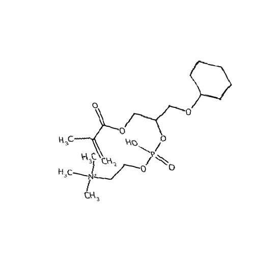 C=C(C)C(=O)OCC(COC1CCCCC1)OP(=O)(O)OCC[N+](C)(C)C